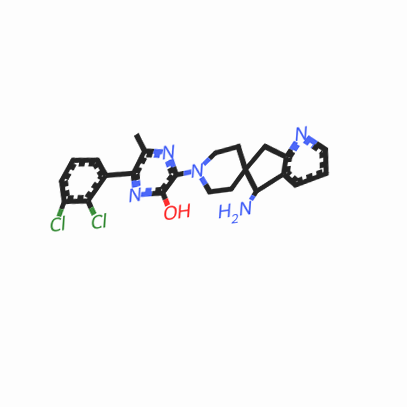 Cc1nc(N2CCC3(CC2)Cc2ncccc2C3N)c(O)nc1-c1cccc(Cl)c1Cl